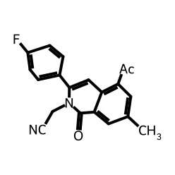 CC(=O)c1cc(C)cc2c(=O)n(CC#N)c(-c3ccc(F)cc3)cc12